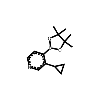 CC1(C)OB(c2ccncc2C2CC2)OC1(C)C